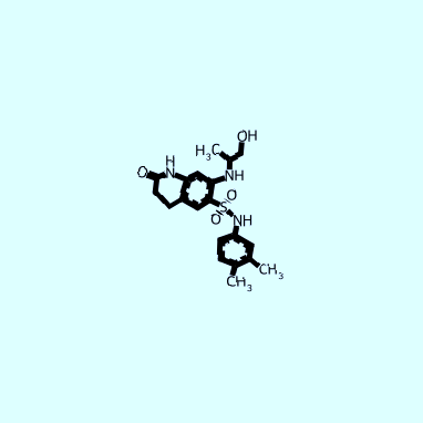 Cc1ccc(NS(=O)(=O)c2cc3c(cc2NC(C)CO)NC(=O)CC3)cc1C